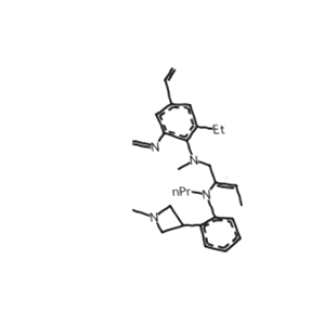 C=Cc1cc(CC)c(N(C)C/C(=C/C)N(CCC)c2ccccc2C2CN(C)C2)c(N=C)c1